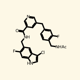 CC(=O)NCc1ccc(Cc2cncc(C(=O)NCc3cc4c(Cl)c[nH]c4cc3F)c2)cc1F